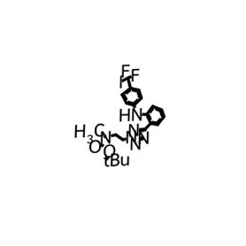 CN(CCn1nnc(-c2ccccc2Nc2ccc(C(F)(F)I)cc2)n1)C(=O)OC(C)(C)C